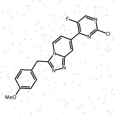 COc1ccc(Cc2nnc3cc(-c4nc(Cl)ncc4F)ccn23)cc1